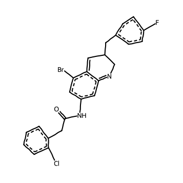 O=C(Cc1ccccc1Cl)Nc1cc(Br)c2c(c1)=NCC(Cc1ccc(F)cc1)C=2